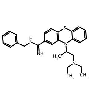 CCN(CC)CC(C)N1c2ccccc2Sc2ccc(C(=N)NCc3ccccc3)cc21